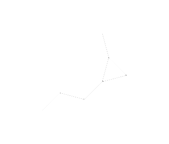 CC[CH]C1CC1C